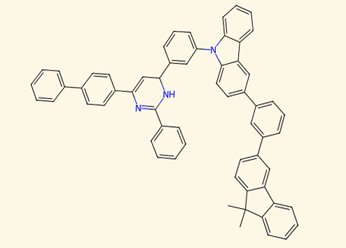 CC1(C)c2ccccc2-c2cc(-c3cccc(-c4ccc5c(c4)c4ccccc4n5-c4cccc(C5C=C(c6ccc(-c7ccccc7)cc6)N=C(c6ccccc6)N5)c4)c3)ccc21